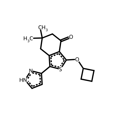 CC1(C)CC(=O)c2c(OC3CCC3)sc(-c3cc[nH]n3)c2C1